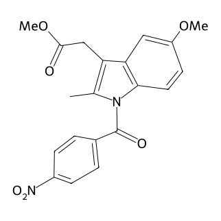 COC(=O)Cc1c(C)n(C(=O)c2ccc([N+](=O)[O-])cc2)c2ccc(OC)cc12